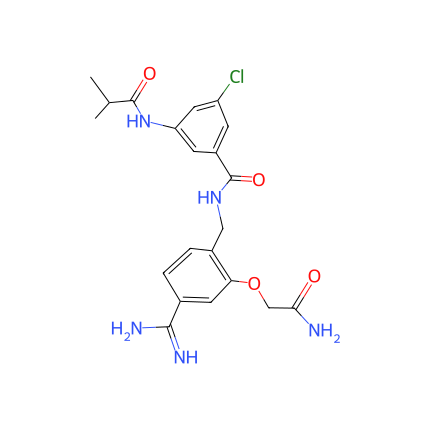 CC(C)C(=O)Nc1cc(Cl)cc(C(=O)NCc2ccc(C(=N)N)cc2OCC(N)=O)c1